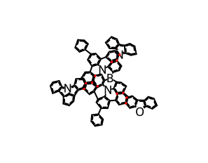 c1ccc(-c2cc(-c3ccccc3)c(N3c4cc(-c5ccc6oc7ccccc7c6c5)ccc4B4c5ccc(-n6c7ccccc7c7ccccc76)cc5N(c5c(-c6ccccc6)cc(-c6ccccc6)cc5-c5ccccc5)c5cc(-c6ccc7c(c6)c6cccc8c9ccccc9n7c86)cc3c54)c(-c3ccccc3)c2)cc1